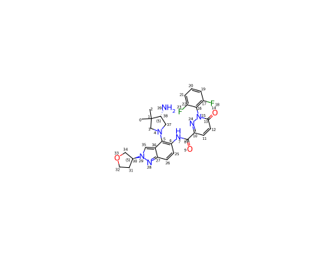 CC1(C)CN(c2c(NC(=O)c3ccc(=O)n(-c4c(F)cccc4F)n3)ccc3nn([C@H]4CCOC4)cc23)C[C@H]1N